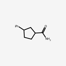 CC(C)C1CCC(C(N)=O)C1